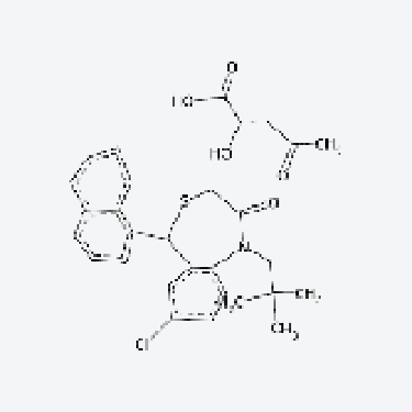 CC(=O)CC(O)C(=O)O.CC(C)(C)CN1C(=O)CSC(c2cccc3ccccc23)c2cc(Cl)ccc21